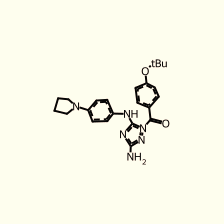 CC(C)(C)Oc1ccc(C(=O)n2nc(N)nc2Nc2ccc(N3CCCC3)cc2)cc1